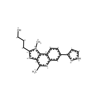 Cc1nc2cc(-c3cc[nH]n3)ccc2c2c1nc(CCCO)n2C